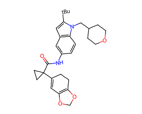 CC(C)(C)c1cc2cc(NC(=O)C3(C4=CC5=C(CC4)OCO5)CC3)ccc2n1CC1CCOCC1